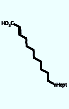 CCCCCCCCCCCCCCCC=CC(=O)O